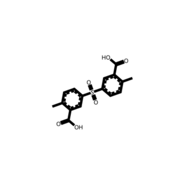 Cc1ccc(S(=O)(=O)c2ccc(C)c(C(=O)O)c2)cc1C(=O)O